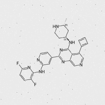 C[C@@H]1C[C@@H](Nc2nc(-c3ccnc(Nc4nc(F)ccc4F)c3)nc3cncc(C4=CC=C4)c23)CCN1